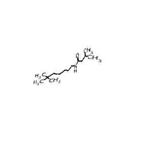 CC(C)CC(=O)NCCCCCC(C)(C)C